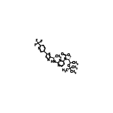 C[C@H](Nc1nccc(N2C(=O)OC[C@@H]2[C@@H](C)OC(C)(C)C)n1)c1ncc(-c2ccc(C(F)(F)F)nc2)s1